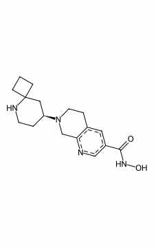 O=C(NO)c1cnc2c(c1)CCN([C@H]1CCNC3(CCC3)C1)C2